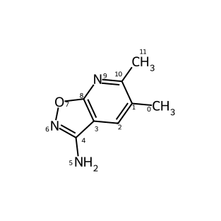 Cc1cc2c(N)noc2nc1C